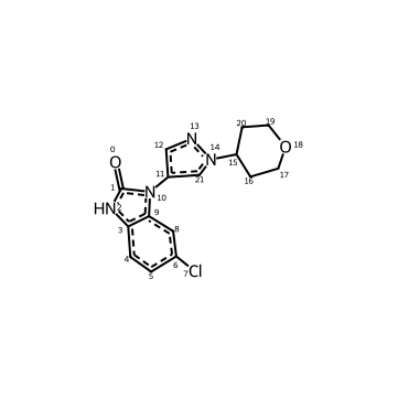 O=c1[nH]c2ccc(Cl)cc2n1-c1cnn(C2CCOCC2)c1